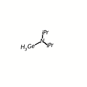 CC(C)[N]([GeH3])C(C)C